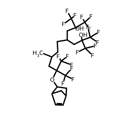 CC(CCC(CC(O)(C(F)(F)F)C(F)(F)F)CC(O)(C(F)(F)F)C(F)(F)F)CC(OC1CC2C=CC1C2)(C(F)(F)F)C(F)(F)F